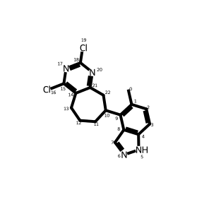 Cc1ccc2[nH]ncc2c1C1CCCc2c(Cl)nc(Cl)nc2C1